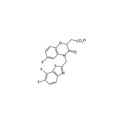 O=C(O)CC1Oc2ccc(F)cc2N(Cc2nc3ccc(F)c(F)c3s2)C1=O